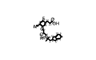 CC(C)(CC1Cc2ccccc2C1)NC[C@@H](O)COc1cc(CCC(=O)O)c(F)cc1C#N